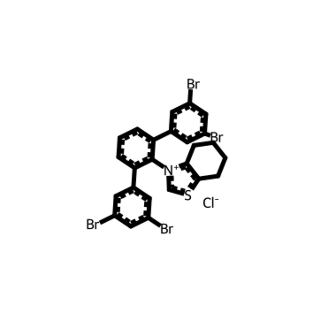 Brc1cc(Br)cc(-c2cccc(-c3cc(Br)cc(Br)c3)c2-[n+]2csc3c2CCCC3)c1.[Cl-]